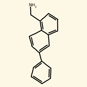 NCc1cccc2cc(-c3ccccc3)ccc12